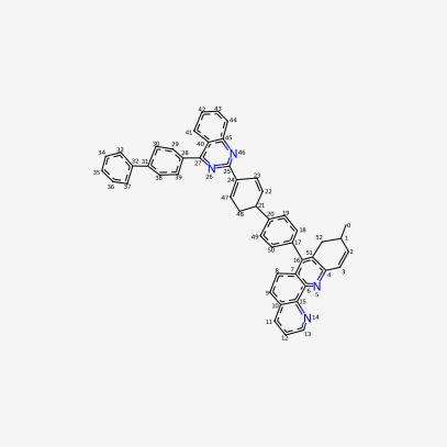 CC1C=Cc2nc3c(ccc4cccnc43)c(-c3ccc(C4C=CC(c5nc(-c6ccc(-c7ccccc7)cc6)c6ccccc6n5)=CC4)cc3)c2C1